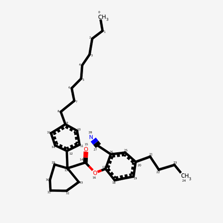 CCCCCCCCCc1ccc(C2(C(=O)Oc3ccc(CCCC)cc3C#N)CCCCC2)cc1